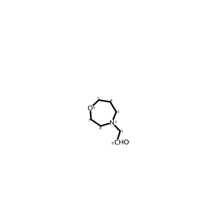 O=[C]CN1CCCOCC1